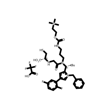 CC(C)(C)[C@H](c1cc(-c2cc(F)ccc2F)cn1Cc1ccccc1)N(CCCNC(=O)OCC[Si](C)(C)C)C(=O)CN[C@@H](CS)C(=O)O.O=C(O)C(F)(F)F